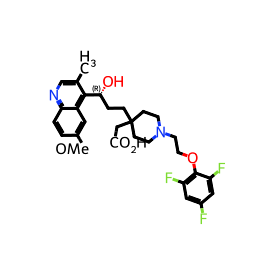 COc1ccc2ncc(C)c([C@H](O)CCC3(CC(=O)O)CCN(CCOc4c(F)cc(F)cc4F)CC3)c2c1